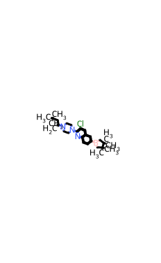 C=C(CC(C)(C)C)N1CCN(c2nc3ccc(B4CC(C)(C)C(C)(C)C4)cc3cc2Cl)CC1